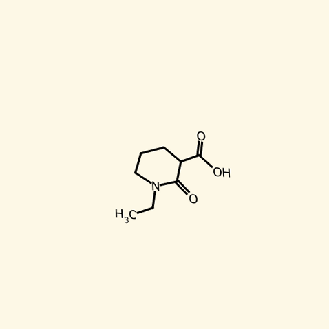 CCN1CCCC(C(=O)O)C1=O